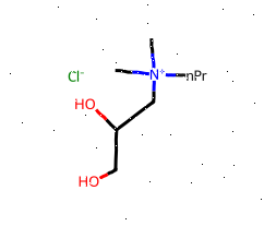 CCC[N+](C)(C)CC(O)CO.[Cl-]